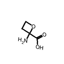 NC1(C(=O)O)CCO1